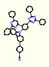 N#Cc1ccc(-c2ccc3c(c2)c2ccccc2n3-c2ccc(-c3nc(-c4ccccc4)nc(-c4ccccc4)n3)cc2-c2cc(-c3ccccc3)nc(-c3ccccc3)n2)cc1